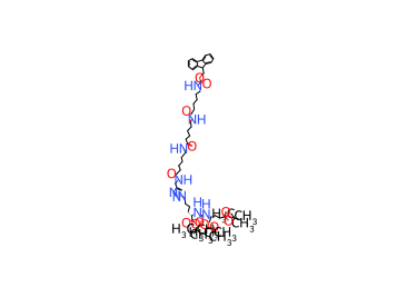 CC(C)(C)OC(=O)CC[C@H](NC(=O)N[C@@H](CCCCn1cc(CNC(=O)CCCCCNC(=O)CCCCCNC(=O)CCCCCNC(=O)OCC2c3ccccc3-c3ccccc32)nn1)C(=O)OC(C)(C)C)C(=O)OC(C)(C)C